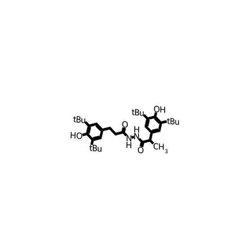 CC(C(=O)NNC(=O)CCc1cc(C(C)(C)C)c(O)c(C(C)(C)C)c1)c1cc(C(C)(C)C)c(O)c(C(C)(C)C)c1